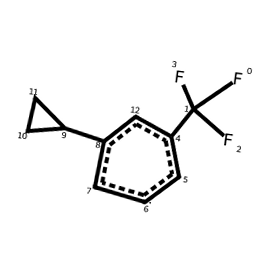 FC(F)(F)c1c[c]cc(C2CC2)c1